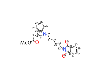 COC(=O)Cc1cn(CCCCCCN2C(=O)c3ccccc3C2=O)c2ccccc12